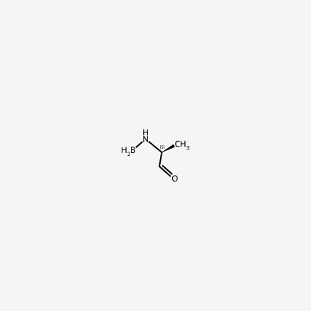 BN[C@@H](C)C=O